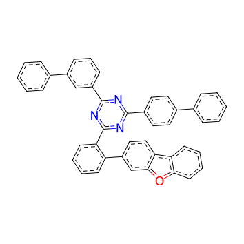 c1ccc(-c2ccc(-c3nc(-c4cccc(-c5ccccc5)c4)nc(-c4ccccc4-c4ccc5c(c4)oc4ccccc45)n3)cc2)cc1